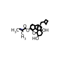 C/C=C(\C)C(=O)Oc1ccc2c3c1OC1C(O)CCC4(O)C(C2)N(CC2CCC2)CCC314